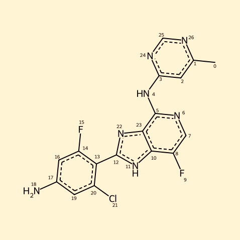 Cc1cc(Nc2ncc(F)c3[nH]c(-c4c(F)cc(N)cc4Cl)nc23)ncn1